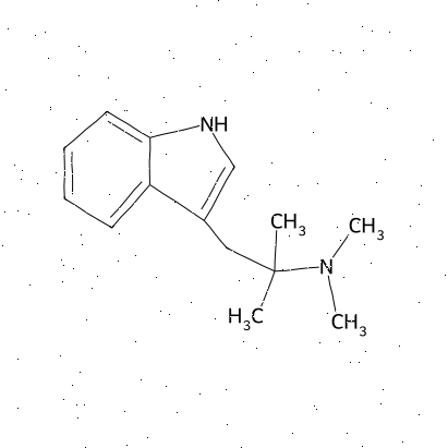 CN(C)C(C)(C)Cc1c[nH]c2ccccc12